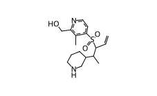 C=CC(C(C)C1CCCNC1)S(=O)(=O)c1ccnc(CO)c1C